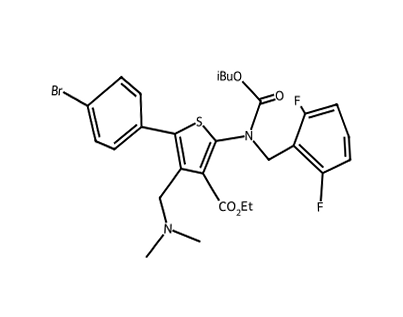 CCOC(=O)c1c(N(Cc2c(F)cccc2F)C(=O)OCC(C)C)sc(-c2ccc(Br)cc2)c1CN(C)C